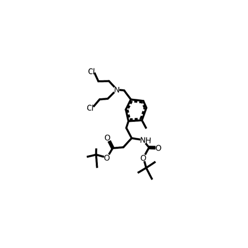 Cc1ccc(CN(CCCl)CCCl)cc1CC(CC(=O)OC(C)(C)C)NC(=O)OC(C)(C)C